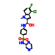 Cn1c(C(O)Nc2ccc(S(=O)(=O)Nc3cnccn3)cc2)cc2c(Cl)c(F)ccc21